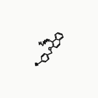 CCCc1c(OCc2ccc(Br)cc2)ccc2ccccc12.N